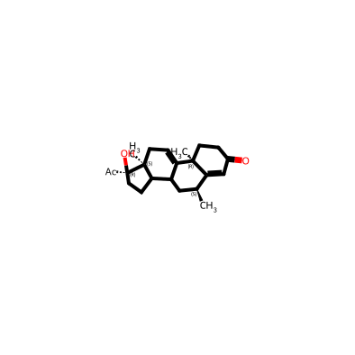 CC(=O)[C@@]1(O)CCC2C3C[C@H](C)C4=CC(=O)CC[C@]4(C)C3=CC[C@@]21C